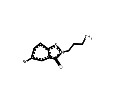 CCCCn1sc2ccc(Br)cc2c1=O